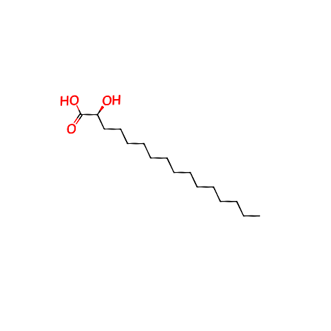 CCCCCCCCCCCCCC[C@H](O)C(=O)O